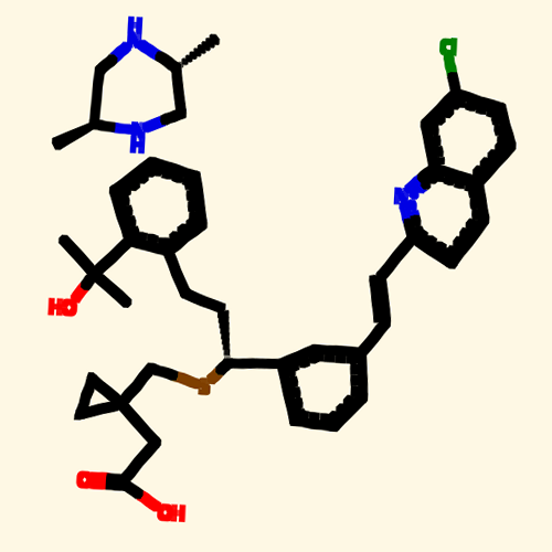 CC(C)(O)c1ccccc1CC[C@@H](SCC1(CC(=O)O)CC1)c1cccc(/C=C/c2ccc3ccc(Cl)cc3n2)c1.C[C@@H]1CN[C@@H](C)CN1